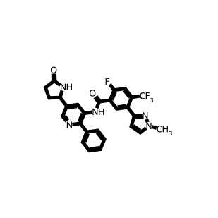 Cn1ccc(-c2cc(C(=O)Nc3cc(C4CCC(=O)N4)cnc3-c3ccccc3)c(F)cc2C(F)(F)F)n1